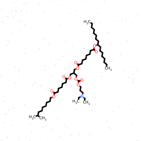 CCCCCCCCC(CCCCCCCC)OC(=O)CCCCCCC(=O)OCC(COC(=O)CCCCCC(=O)OCCCCCCCC(C)C)COC(=O)OCCCN(CC)CC